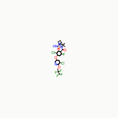 CC(C)(C)[Si](C)(C)N(C(=O)c1cc(Cl)c(Oc2cnc(OCC(F)(F)C(F)F)c(Cl)c2)cc1F)S(=N)(=O)N1CCC1